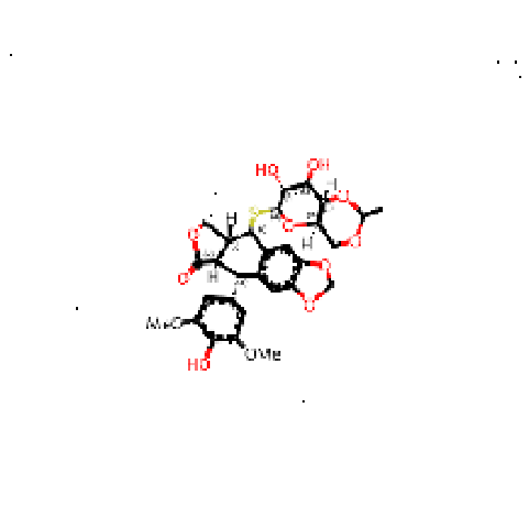 COc1cc([C@H]2c3cc4c(cc3[C@H](S[C@@H]3O[C@@H]5COC(C)O[C@H]5[C@H](O)[C@H]3O)[C@H]3COC(=O)[C@H]23)OCO4)cc(OC)c1O